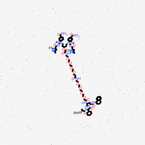 CCn1nc(C)cc1C(=O)N=c1n(C)c2cc(C(N)=O)ccc2n1CCC(CCn1c(=NC(=O)c2cc(C)nn2CC)n(C)c2cc(C(N)=O)ccc21)OCC(=O)NCCOCCOCCOCCOCCC(=O)NCCOCCOCCOCCOCC(=O)N[C@H]1C[C@@H](C(=O)NC2CCCc3ccccc32)N(C(=O)[C@@H](NC(=O)[C@H](C)NC)C2CCCCC2)C1